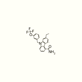 CCc1c[c]c2c3c(C(N)=O)cccc3n(Cc3cccc(OC(F)(F)F)c3)c2c1